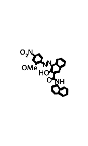 COc1cc([N+](=O)[O-])ccc1N=Nc1c(O)c(C(=O)Nc2cccc3ccccc23)cc2ccccc12